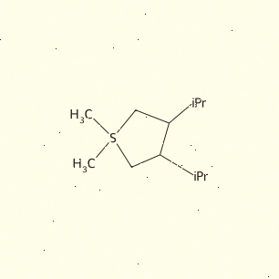 CC(C)C1CS(C)(C)CC1C(C)C